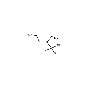 CCC1(C)NC=CN1CCC#N